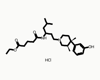 CCOC(=O)CCCC(=O)NC(CCN1CC[C@](C)(c2cccc(O)c2)[C@@H](C)C1)CC(C)C.Cl